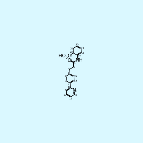 O=C(CCc1ccc(-c2ccccn2)cc1)Nc1ccccc1C(=O)O